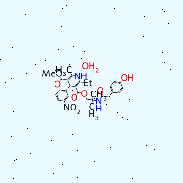 CCC1=C(C(=O)OCC(C)(C)NC(=O)Cc2ccc(O)cc2)C(c2cccc([N+](=O)[O-])c2)C(C(=O)OC)=C(C)N1.O